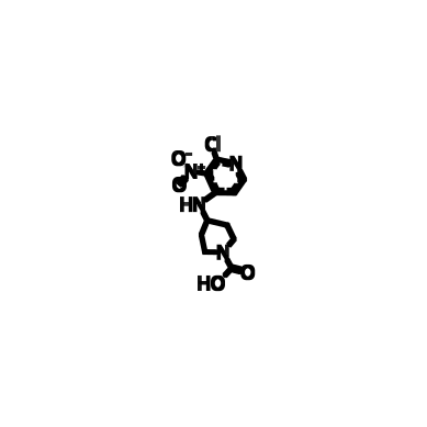 O=C(O)N1CCC(Nc2ccnc(Cl)c2[N+](=O)[O-])CC1